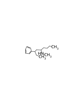 CCCCC(CC(CC)c1ccccc1)NC